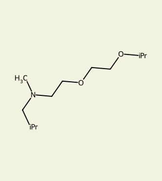 CC(C)CN(C)CCOCCOC(C)C